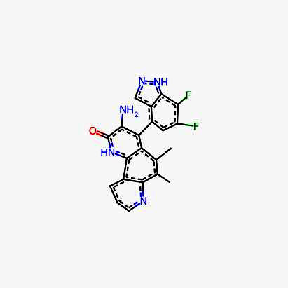 Cc1c(C)c2c(-c3cc(F)c(F)c4[nH]ncc34)c(N)c(=O)[nH]c2c2cccnc12